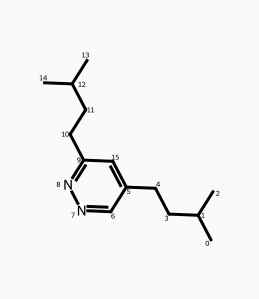 CC(C)CCc1cnnc(CCC(C)C)c1